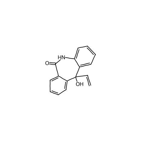 C=CC1(O)c2ccccc2NC(=O)c2ccccc21